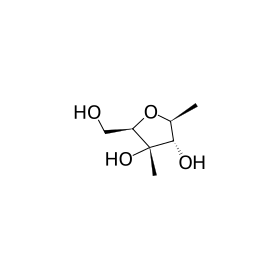 C[C@@H]1O[C@H](CO)[C@@](C)(O)[C@H]1O